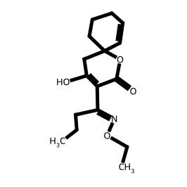 CCCC(=NOCC)C1=C(O)CC2(C=CCCC2)OC1=O